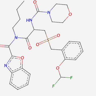 CCCCN(C(=O)c1nc2ccccc2o1)C(=O)C(CS(=O)(=O)Cc1ccccc1OC(F)F)NC(=O)N1CCOCC1